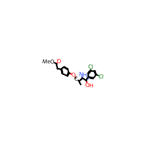 COC(=O)Cc1ccc(OCC(C)C(N)C(O)c2cc(Cl)cc(Cl)c2)cc1